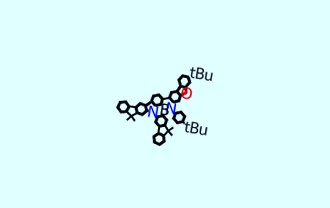 CC(C)(C)c1ccc(N2B3c4cc5c(cc4-n4c6cc7c(cc6c6ccc(c3c64)-c3cc4c(cc32)oc2cc(C(C)(C)C)ccc24)-c2ccccc2C7(C)C)-c2ccccc2C5(C)C)cc1